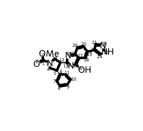 COC(=O)N1C[C@@H](c2ccccc2)[C@H](c2nc(O)c3cc(-c4cn[nH]c4)ccc3n2)C1